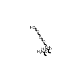 C=CC(N)=O.C=CC(N)=O.OCCOCCOCCOCCO